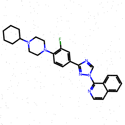 Fc1cc(-c2ncn(-c3nccc4ccccc34)n2)ccc1N1CCN(C2CCCCC2)CC1